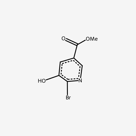 COC(=O)c1cnc(Br)c(O)c1